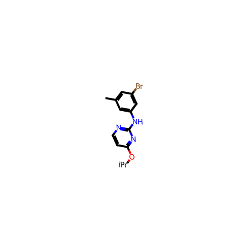 Cc1cc(Br)cc(Nc2nccc(OC(C)C)n2)c1